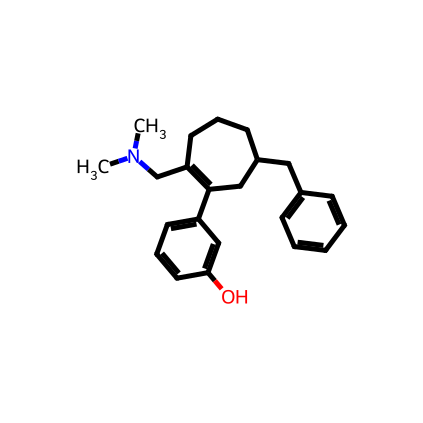 CN(C)CC1=C(c2cccc(O)c2)CC(Cc2ccccc2)CCC1